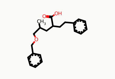 CC(COCc1ccccc1)CC(CCc1ccccc1)C(=O)O